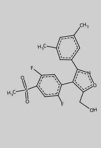 Cc1cc(C)cc(-c2noc(CO)c2-c2cc(F)c(S(C)(=O)=O)cc2F)c1